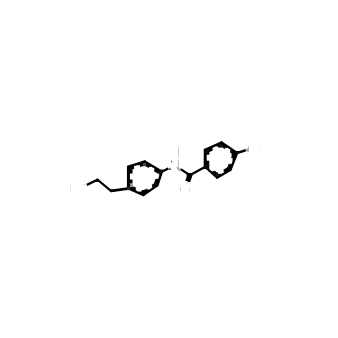 Cc1ccc(C(=O)Nc2ccc(CCO)cc2)cc1